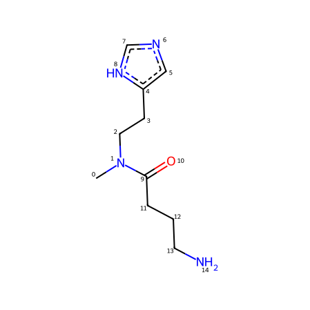 CN(CCc1cnc[nH]1)C(=O)CCCN